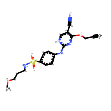 C#CCOc1nc(Nc2ccc(S(=O)(=O)NCCCOC)cc2)ncc1C#N